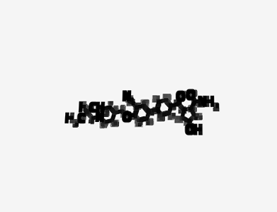 CC(C)(F)CN1CCC(COc2ccc(-c3ccc(C(=O)C4C[C@H](O)CC4C(N)=O)cc3)cc2C#N)CC1